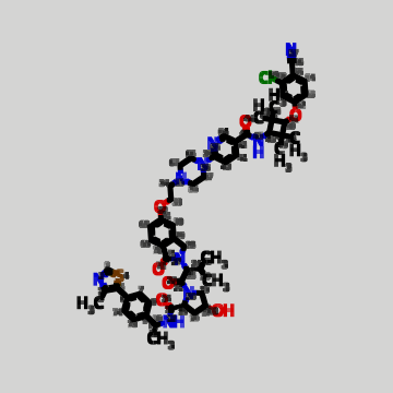 Cc1ncsc1-c1ccc([C@H](C)NC(=O)[C@@H]2C[C@@H](O)CN2C(=O)[C@H](C(C)C)N2Cc3cc(OCCN4CCN(c5ccc(C(=O)NC6C(C)(C)C(Oc7ccc(C#N)c(Cl)c7)C6(C)C)cn5)CC4)ccc3C2=O)cc1